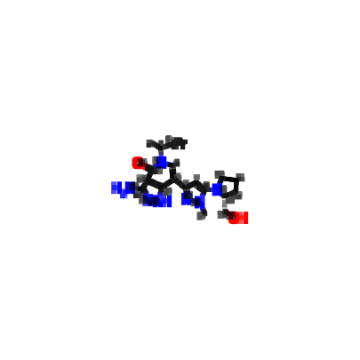 CC(C)[C@H](C)n1cc(-c2cc(N3CCC[C@@H]3CO)n(C)n2)c2[nH]nc(N)c2c1=O